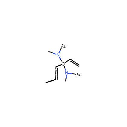 C=C[Si](C=CC)(N(C)C(C)=O)N(C)C(C)=O